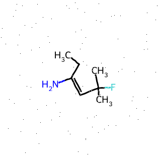 CC/C(N)=C\C(C)(C)F